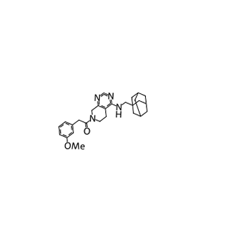 COc1cccc(CC(=O)N2CCc3c(ncnc3NCC34CC5CC(CC(C5)C3)C4)C2)c1